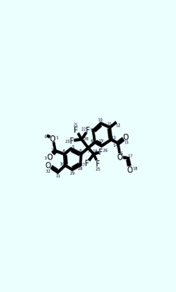 COC(=O)c1cc(C(c2ccc(C)c(C(=O)OC=O)c2)(C(F)(F)F)C(F)(F)F)ccc1C=O